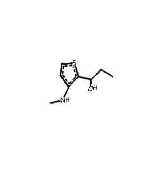 CCC(O)c1sccc1NC